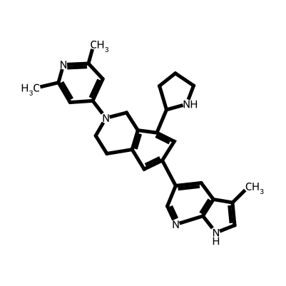 Cc1cc(N2CCc3cc(-c4cnc5[nH]cc(C)c5c4)cc(C4CCCN4)c3C2)cc(C)n1